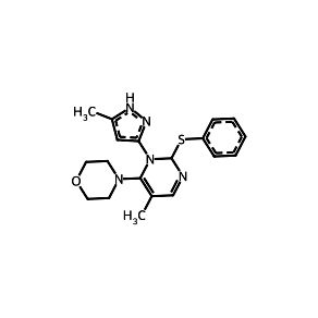 CC1=C(N2CCOCC2)N(c2cc(C)[nH]n2)C(Sc2ccccc2)N=C1